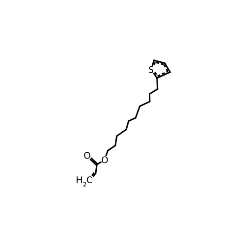 C=CC(=O)OCCCCCCCCCCc1cccs1